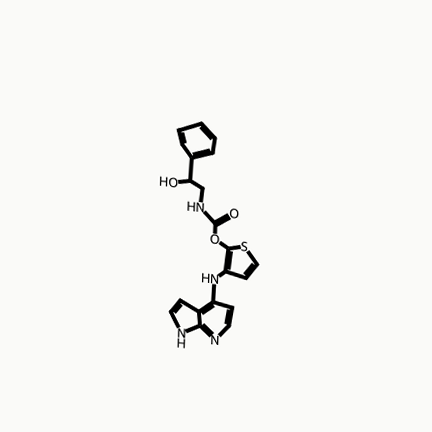 O=C(NCC(O)c1ccccc1)Oc1sccc1Nc1ccnc2[nH]ccc12